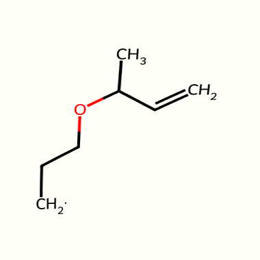 [CH2]CCOC(C)C=C